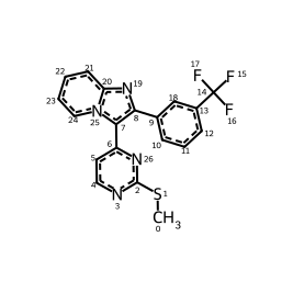 CSc1nccc(-c2c(-c3cccc(C(F)(F)F)c3)nc3ccccn23)n1